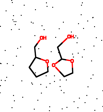 OCC1CCCO1.OCC1OCCO1